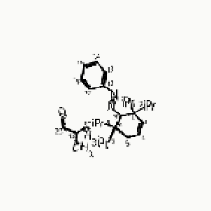 CC(C)C1(C(C)C)C=CCC(C(C)C)(C(C)C)C1N=Nc1ccccc1.CC(C)C=O